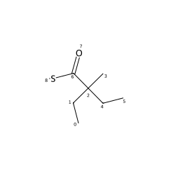 CCC(C)(CC)C(=O)[S]